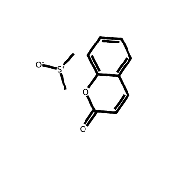 C[S+](C)[O-].O=c1ccc2ccccc2o1